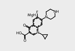 O=C(O)c1cn(C2CC2)c2cc(N3CCNCC3)c(F)cc2c1=O.[MgH2]